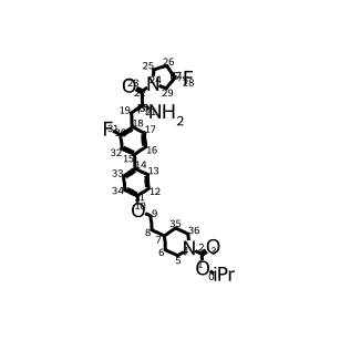 CC(C)OC(=O)N1CCC(CCOc2ccc(-c3ccc(C[C@H](N)C(=O)N4CC[C@H](F)C4)c(F)c3)cc2)CC1